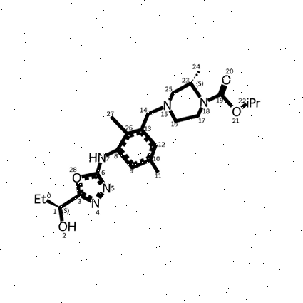 CC[C@H](O)c1nnc(Nc2cc(C)cc(CN3CCN(C(=O)OC(C)C)[C@@H](C)C3)c2C)o1